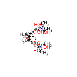 CC(O)CN(CC(C)O)CC(O)COCCC[Si](C)(C)O[Si](C)(C)CCCOCC(O)CN(CC(C)O)CC(C)O